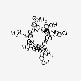 C[C@@H](O)[C@@H]1NC(=O)[C@H](CCCCCN)NC(=O)[C@@H](Cc2ccc(C(N)=O)cc2)NC(=O)[C@H](Cc2ccc(O)cc2)NC(=O)[C@H](NC(=O)[C@@H](N)Cc2ccc(Cl)cc2)CSSC[C@@H](C(=O)N[C@H](Cc2ccc(O)cc2)C(N)=O)NC1=O